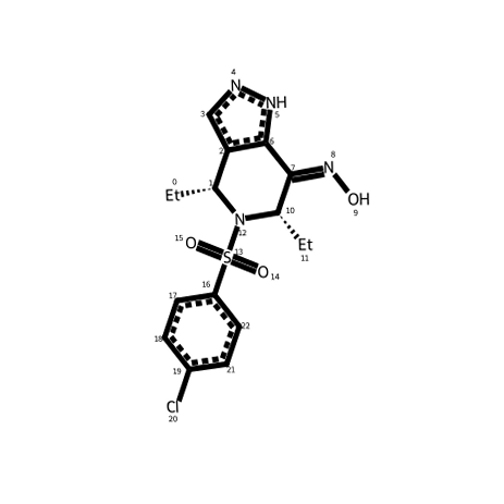 CC[C@@H]1c2cn[nH]c2C(=NO)[C@H](CC)N1S(=O)(=O)c1ccc(Cl)cc1